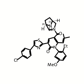 CCc1ccc(OC)cc1-n1c(C=C(C)C)c(C(=O)N2C[C@H]3CC[C@@H](C2)N3)cc(-c2nc(-c3ccc(Cl)cc3)cs2)c1=O